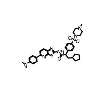 CN1CCN(S(=O)(=O)c2ccc(C(CC3CCCC3)C(=O)Nc3nc4ccc(-c5ccc(N(C)C)cc5)nc4s3)cc2)CC1